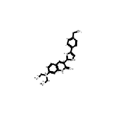 CCc1ccc(C2=CNC(c3cc4ccc(N(CC)CC)cc4oc3=O)O2)cc1